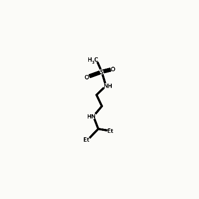 CCC(CC)NCCNS(C)(=O)=O